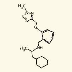 CC(CC1CCCCC1)NCc1ccccc1OCc1nnn(C)n1